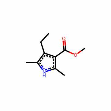 CCc1c(C)[nH]c(C)c1C(=O)OC